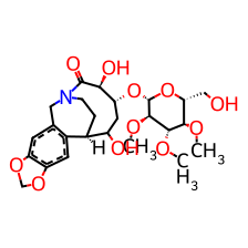 CO[C@@H]1[C@@H](OC)[C@H](O[C@@H]2CC(O)[C@@H]3CCN(Cc4cc5c(cc43)OCO5)C(=O)[C@H]2O)O[C@H](CO)[C@H]1OC